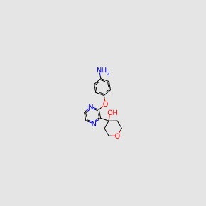 Nc1ccc(Oc2nccnc2C2(O)CCOCC2)cc1